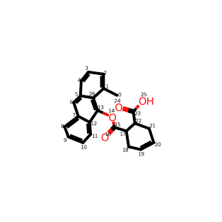 Cc1cccc2cc3ccccc3c(OC(=O)C3CC=CCC3C(=O)O)c12